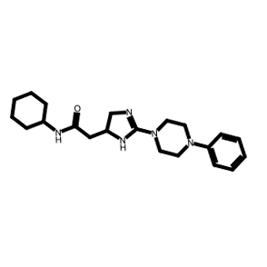 O=C(CC1CN=C(N2CCN(c3ccccc3)CC2)N1)NC1CCCCC1